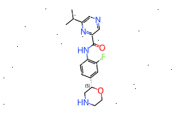 CC(C)c1cncc(C(=O)Nc2ccc([C@H]3CNCCO3)cc2F)n1